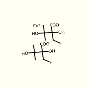 CC(C)(O)C(O)(CF)C(=O)[O-].CC(C)(O)C(O)(CF)C(=O)[O-].[Cu+2]